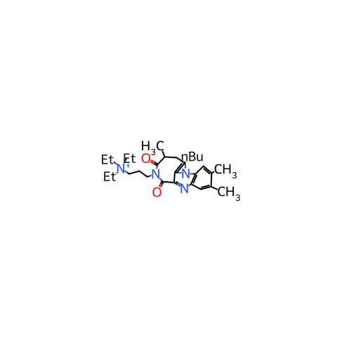 CCCCN1/C2=C\CC(C)C(=O)N(CCC[N+](CC)(CC)CC)C(=O)C2=Nc2cc(C)c(C)cc21